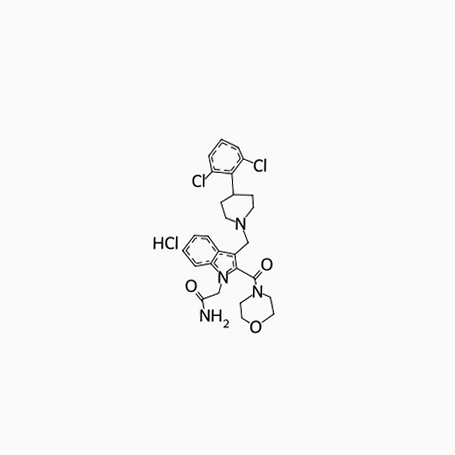 Cl.NC(=O)Cn1c(C(=O)N2CCOCC2)c(CN2CCC(c3c(Cl)cccc3Cl)CC2)c2ccccc21